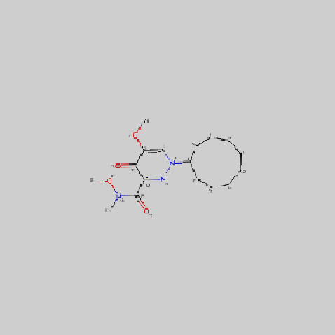 COc1cn(C2CCCCCCCC2)nc(C(=O)N(C)OC)c1=O